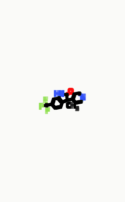 C[C@@]1(c2ccncc2)C(=O)Nc2cc(C(F)(F)F)ccc21